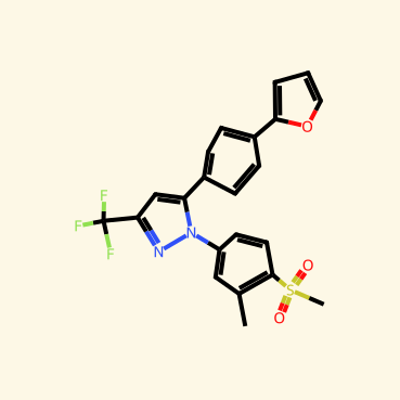 Cc1cc(-n2nc(C(F)(F)F)cc2-c2ccc(-c3ccco3)cc2)ccc1S(C)(=O)=O